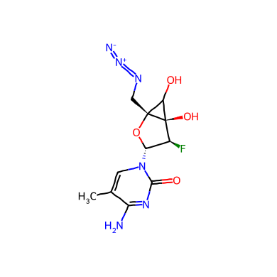 Cc1cn([C@@H]2O[C@]3(CN=[N+]=[N-])C(O)[C@]3(O)[C@H]2F)c(=O)nc1N